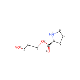 O=C(OCCCO)[C@@H]1CCCN1